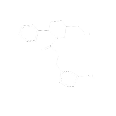 Nc1cccc(COC(=O)N2CC(CO)CCC2c2ccccc2)c1